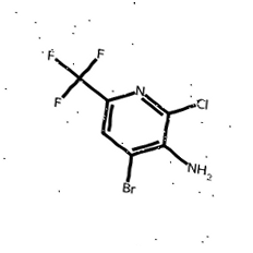 Nc1c(Br)cc(C(F)(F)F)nc1Cl